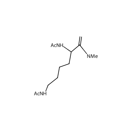 C=C(NC)C(CCCCNC(C)=O)NC(C)=O